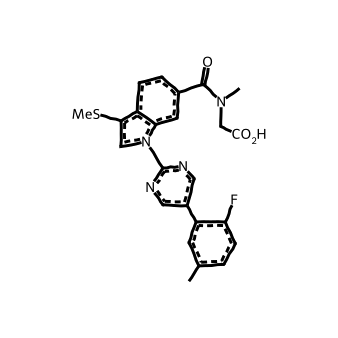 CSc1cn(-c2ncc(-c3cc(C)ccc3F)cn2)c2cc(C(=O)N(C)CC(=O)O)ccc12